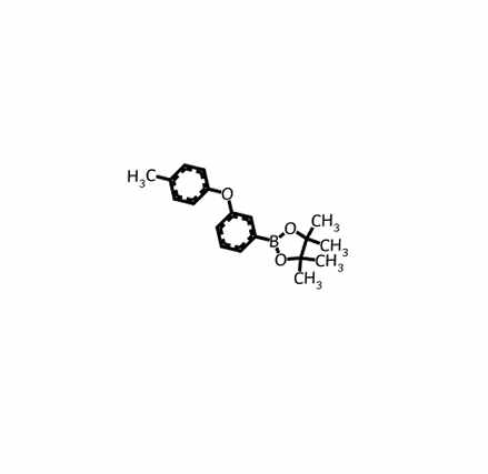 Cc1ccc(Oc2cccc(B3OC(C)(C)C(C)(C)O3)c2)cc1